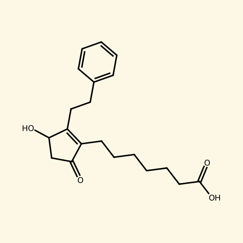 O=C(O)CCCCCCC1=C(CCc2ccccc2)C(O)CC1=O